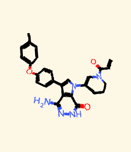 C=CC(=O)N1CCCC(n2cc(-c3ccc(Oc4ccc(C)cc4)cc3)c3c(N)n[nH]c(=O)c32)C1